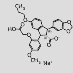 CCCOc1ccc2c(c1)C(c1ccc(OC)cc1OCC(=O)O)[C@@H](C(=O)[O-])[C@@H]2c1ccc2c(c1)OCO2.[Na+]